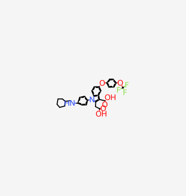 O=C(O)Cc1c(C(=O)O)c2cc(Oc3ccc(OC(F)(F)F)cc3)ccc2n1-c1ccc(NCC2CCCCC2)cc1